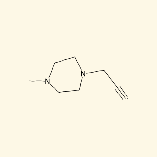 [C]#CCN1CCN(C)CC1